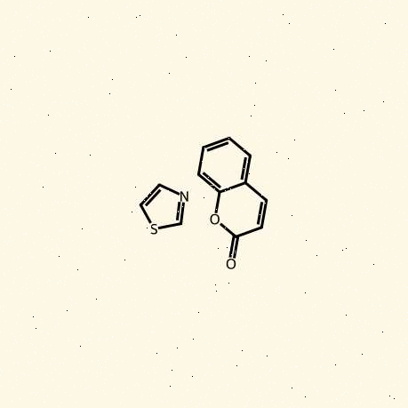 O=c1ccc2ccccc2o1.c1cscn1